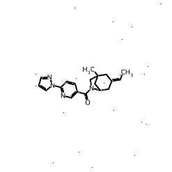 C/C=C1/CC2CC(C)(C1)CN2C(=O)c1ccc(-n2cccn2)nc1